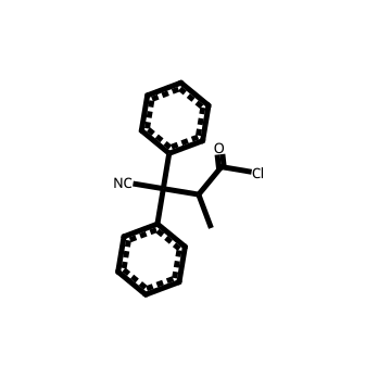 CC(C(=O)Cl)C(C#N)(c1ccccc1)c1ccccc1